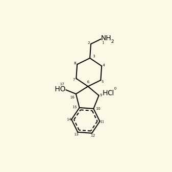 Cl.NCC1CCC2(CC1)Cc1ccccc1C2O